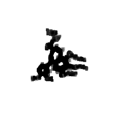 COc1ccc(C2=CC(C(=O)NO)CCc3c2cc(OC)c(OC)c3OC)cc1O